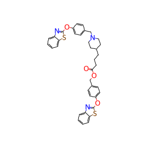 O=C(CCCC1CCN(Cc2ccc(Oc3nc4ccccc4s3)cc2)CC1)OCc1ccc(Oc2nc3ccccc3s2)cc1